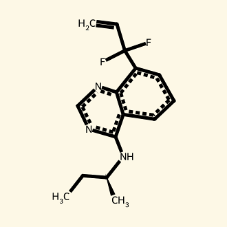 C=CC(F)(F)c1cccc2c(N[C@@H](C)CC)ncnc12